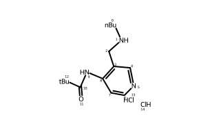 CCCCNCc1cnccc1NC(=O)C(C)(C)C.Cl.Cl